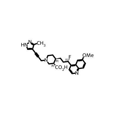 COc1ccc2nccc([C@@H](F)CC[C@@H]3CCN(CC#Cc4c[nH]nc4C)C[C@@H]3C(=O)O)c2c1